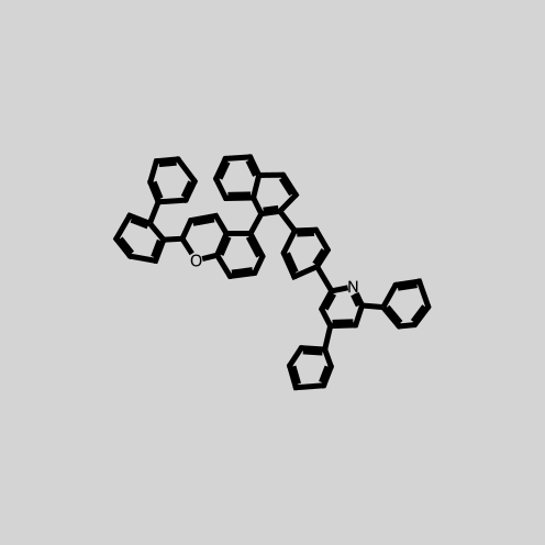 C1=CC(c2ccccc2-c2ccccc2)Oc2cccc(-c3c(-c4ccc(-c5cc(-c6ccccc6)cc(-c6ccccc6)n5)cc4)ccc4ccccc34)c21